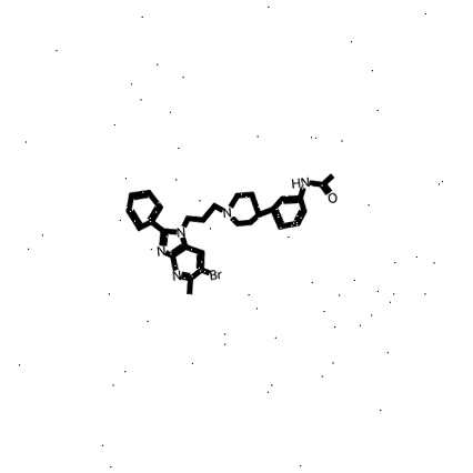 CC(=O)Nc1cccc(C2CCN(CCCn3c(-c4ccccc4)nc4nc(C)c(Br)cc43)CC2)c1